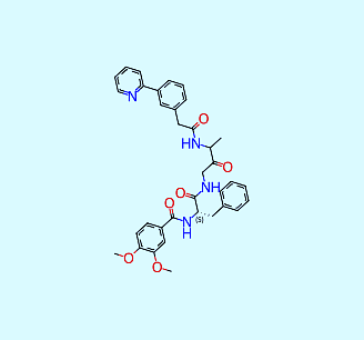 COc1ccc(C(=O)N[C@@H](Cc2ccccc2)C(=O)NCC(=O)C(C)NC(=O)Cc2cccc(-c3ccccn3)c2)cc1OC